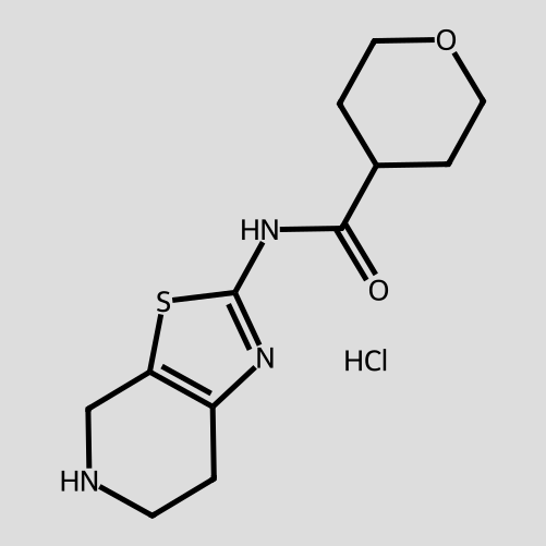 Cl.O=C(Nc1nc2c(s1)CNCC2)C1CCOCC1